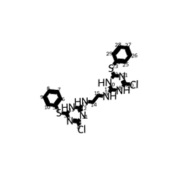 ClC1=NC(Sc2ccccc2)NC(NCCNC2NC(Cl)=NC(Sc3ccccc3)N2)=N1